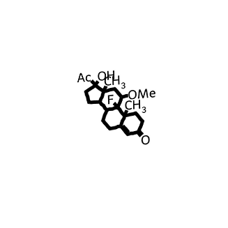 COC1CC2(C)C(CCC2(O)C(C)=O)C2CCC3=CC(=O)CCC3(C)C12F